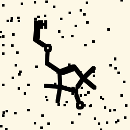 CC1(C)C=C(COC=N)C(C)(C)N1[O]